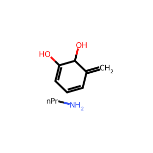 C=C1C=CC=C(O)C1O.CCCN